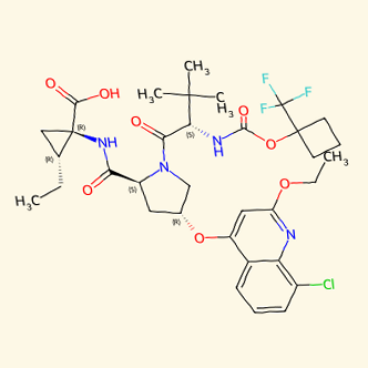 CCOc1cc(O[C@@H]2C[C@@H](C(=O)N[C@]3(C(=O)O)C[C@H]3CC)N(C(=O)[C@@H](NC(=O)OC3(C(F)(F)F)CCC3)C(C)(C)C)C2)c2cccc(Cl)c2n1